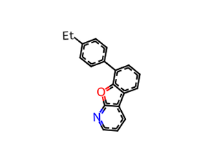 CCc1ccc(-c2cccc3c2oc2ncccc23)cc1